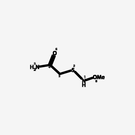 CONSCC(N)=O